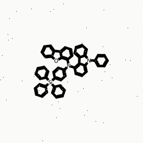 c1ccc(-n2c3ccccc3c3c(N(c4ccc([Si](c5ccccc5)(c5ccccc5)c5ccccc5)cc4)c4cccc5c4oc4ccccc45)cccc32)cc1